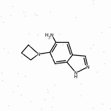 Nc1cc2cn[nH]c2cc1N1CCC1